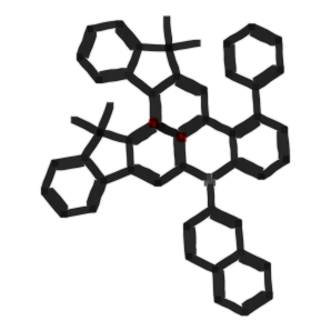 CC1(C)c2ccccc2-c2cc(N(c3ccc4ccccc4c3)c3cccc(-c4ccccc4)c3-c3ccc4c(c3)C(C)(C)c3ccccc3-4)ccc21